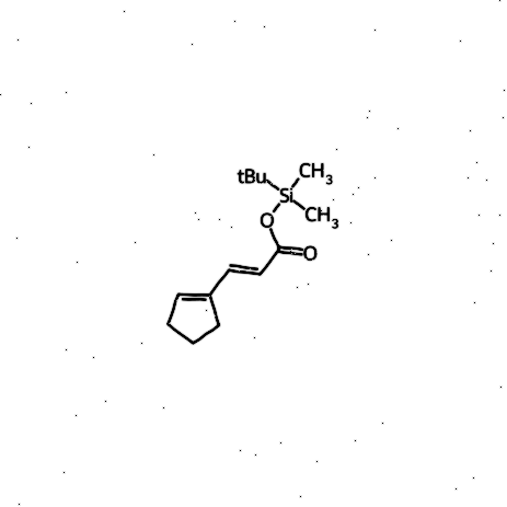 CC(C)(C)[Si](C)(C)OC(=O)C=CC1=CCCC1